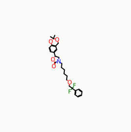 CC1(C)OCc2cc(C3CN(CCCCCCOCC(F)(F)c4ccccc4)C(=O)O3)ccc2O1